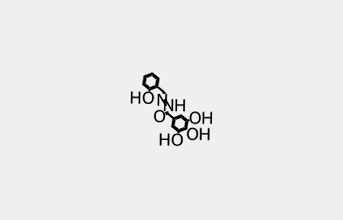 O=C(N/N=C/c1ccccc1O)c1cc(O)c(O)c(O)c1